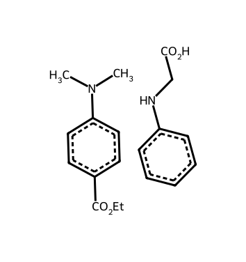 CCOC(=O)c1ccc(N(C)C)cc1.O=C(O)CNc1ccccc1